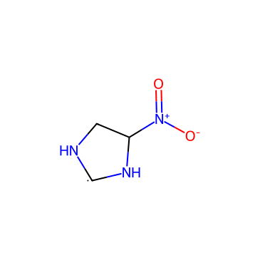 O=[N+]([O-])C1CN[CH]N1